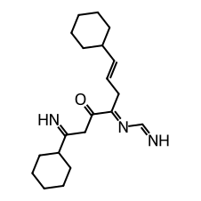 N=C/N=C(\C/C=C/C1CCCCC1)C(=O)CC(=N)C1CCCCC1